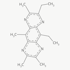 CCc1nc2c(CC)c3nc(C)c(C)nc3c(C)c2nc1C